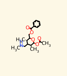 CNCC1[C@H](C)C(COC(=O)c2ccccc2)OC(OC(C)=O)[C@H]1C